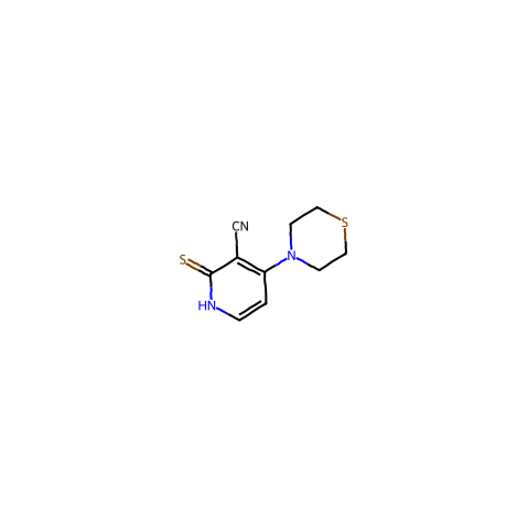 N#Cc1c(N2CCSCC2)cc[nH]c1=S